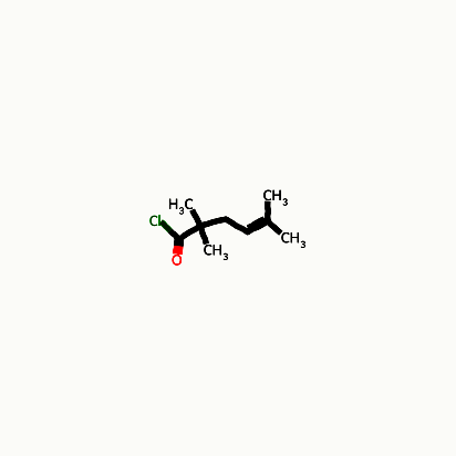 CC(C)=CCC(C)(C)C(=O)Cl